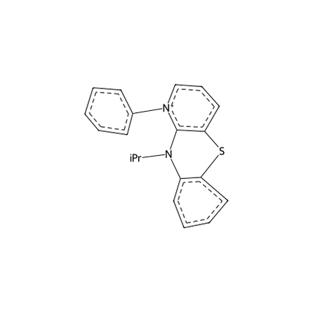 CC(C)N1c2ccccc2Sc2ccc[n+](-c3ccccc3)c21